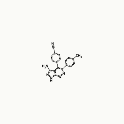 Cc1ccc(-c2nnc3[nH]nc(N)c3c2-c2ccc(C#N)cc2)cc1